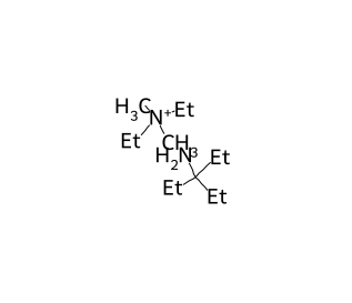 CCC(N)(CC)CC.CC[N+](C)(C)CC